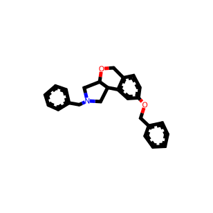 c1ccc(COc2ccc3c(c2)C2CN(Cc4ccccc4)CC2OC3)cc1